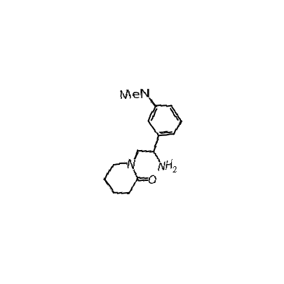 CNc1cccc(C(N)CN2CCCCC2=O)c1